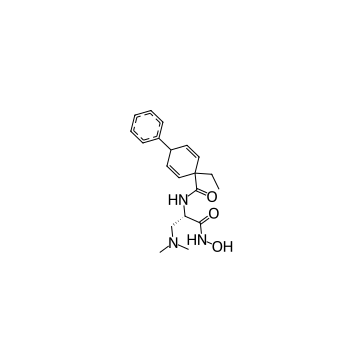 CCC1(C(=O)N[C@@H](CN(C)C)C(=O)NO)C=CC(c2ccccc2)C=C1